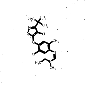 CCN(C)/C=N\c1cc(Cl)c(Oc2snc(C(C)(C)C)c2Cl)cc1C